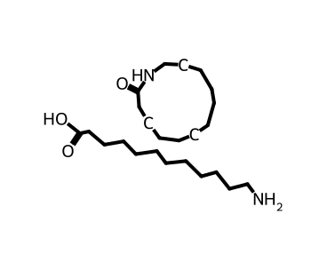 NCCCCCCCCCCCC(=O)O.O=C1CCCCCCCCCCCN1